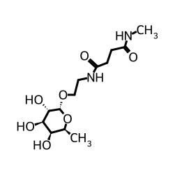 CNC(=O)CCC(=O)NCCO[C@@H]1O[C@@H](C)[C@@H](O)[C@@H](O)[C@@H]1O